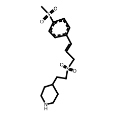 CS(=O)(=O)c1ccc(C=CCS(=O)(=O)CCC2CCNCC2)cc1